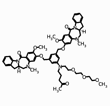 COCCOCCOCCN(CCCC(C)=O)c1cc(COc2cc3c(cc2OC)C(=O)N2c4ccccc4C[C@H]2CN3C)cc(COc2cc3c(cc2OC)C(=O)N2c4ccccc4C[C@H]2CN3C)c1